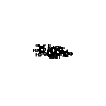 CC1OC(OC2CCC3(CO)C4C(O)CC5(C)C(C6=CC(=O)OC6)CCC5(O)C4CCC3(O)C2)C(O)C(O)C1O